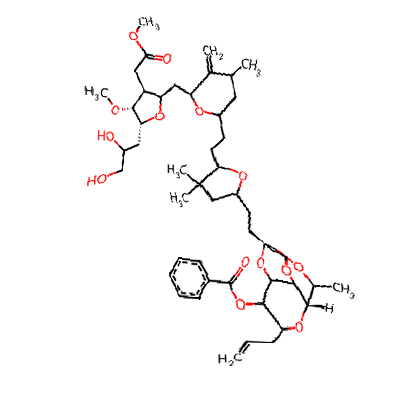 C=CCC1O[C@H]2C(C)O[C@]3(CCC4CC(C)(C)C(CCC5CC(C)C(=C)C(CC6O[C@H](CC(O)CO)[C@H](OC)C6CC(=O)OC)O5)O4)CCOC2C(O3)C1OC(=O)c1ccccc1